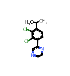 CC(c1ccc(-c2cnccn2)c(Cl)c1Cl)C(F)(F)F